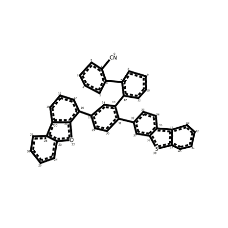 N#Cc1ccccc1-c1ccccc1-c1cc(-c2cccc3c2oc2ccccc23)ccc1-c1ccc2c(c1)sc1ccccc12